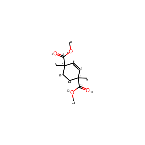 COC(=O)C1(C)C=CC(C)(C(=O)OC)CC1